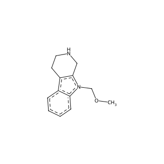 COCn1c2c(c3ccccc31)CCNC2